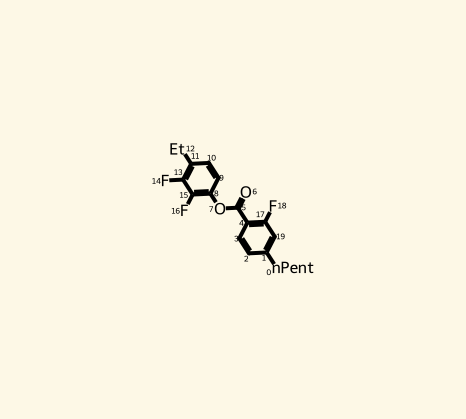 CCCCCc1ccc(C(=O)Oc2ccc(CC)c(F)c2F)c(F)c1